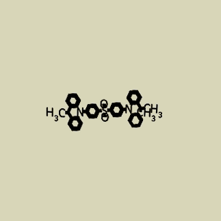 CC(C)c1ccccc1N(C1=CCCC=C1)c1ccc(S(=O)(=O)c2ccc(N3c4ccccc4C(C)c4ccccc43)cc2)cc1